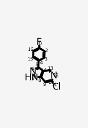 Fc1ccc(-c2n[nH]c3cc(Cl)ncc23)cc1